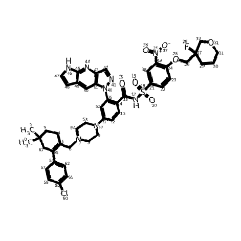 CC1(C)CCC(CN2CCN(c3ccc(C(=O)NS(=O)(=O)c4ccc(OCC5(F)CCCOC5)c([N+](=O)[O-])c4)c(-n4ncc5nc6[nH]ccc6cc54)c3)CC2)=C(c2ccc(Cl)cc2)C1